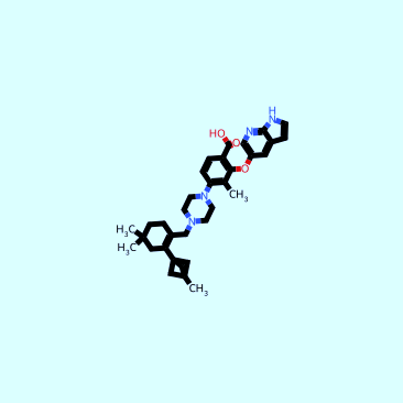 Cc1c(N2CCN(CC3=C(C45CC(C)(C4)C5)CC(C)(C)CC3)CC2)ccc(C(=O)O)c1Oc1cnc2[nH]ccc2c1